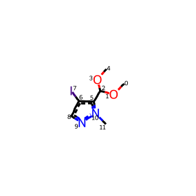 COC(OC)c1c(I)cnn1C